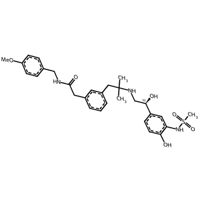 COc1ccc(CNC(=O)Cc2cccc(CC(C)(C)NC[C@@H](O)c3ccc(O)c(NS(C)(=O)=O)c3)c2)cc1